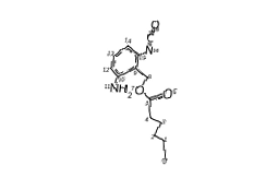 CCCCCC(=O)OCc1c(N)cccc1N=C=O